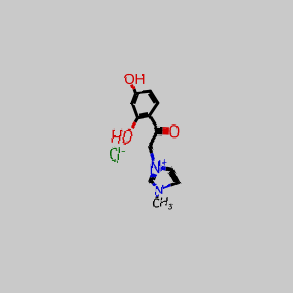 Cn1cc[n+](CC(=O)c2ccc(O)cc2O)c1.[Cl-]